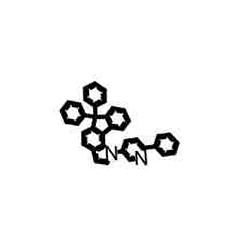 c1ccc(-c2ccc(-n3ccc4ccc5c(c43)-c3ccccc3C5(c3ccccc3)c3ccccc3)cn2)cc1